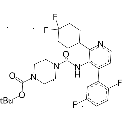 CC(C)(C)OC(=O)N1CCN(C(=O)Nc2c(-c3cc(F)ccc3F)ccnc2C2CCC(F)(F)CC2)CC1